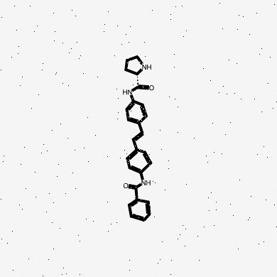 O=C(Nc1ccc(/C=C/c2ccc(NC(=O)[C@@H]3CCCN3)cc2)cc1)c1ccccc1